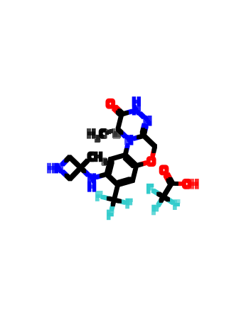 C[C@@H]1C(=O)NN=C2COc3cc(C(F)(F)F)c(NC4(C)CNC4)cc3N21.O=C(O)C(F)(F)F